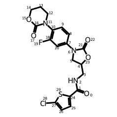 O=C(NCC1CN(c2ccc(N3CCCOC3=O)c(F)c2)C(=O)O1)c1ccc(Cl)s1